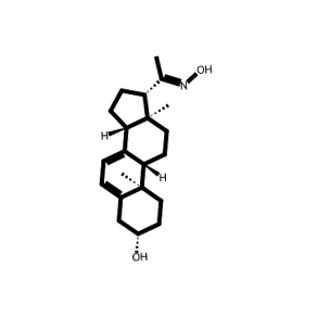 CC(=NO)[C@H]1CC[C@H]2C3=CC=C4C[C@@H](O)CC[C@]4(C)[C@H]3CC[C@]12C